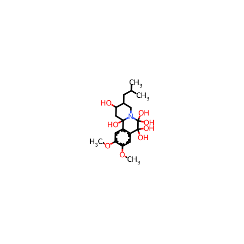 COc1cc2c(cc1OC)C(O)(O)C(O)(O)N1CC(CC(C)C)C(O)CC21O